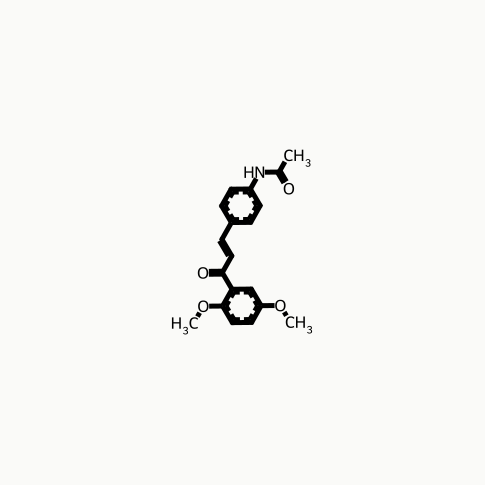 COc1ccc(OC)c(C(=O)C=Cc2ccc(NC(C)=O)cc2)c1